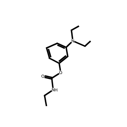 CCNC(=O)Oc1[c]ccc(N(CC)CC)c1